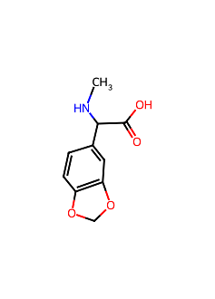 CNC(C(=O)O)c1ccc2c(c1)OCO2